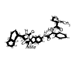 CNC(=O)C1(N2CC(C3CCc4ccccc43)NC2=O)Cc2ccc(NC(=O)[C@@H](NC(=O)c3ccnn3C)C3CCCCC3)cc2C1